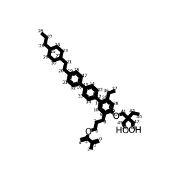 C=C(C)C(=C)OCCCc1cc(-c2ccc(-c3ccc(CCC4CCC(CCC)CC4)cc3)cc2)c(CC)cc1OCC(CC)(CO)CO